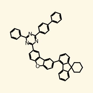 c1ccc(-c2ccc(-c3nc(-c4ccccc4)nc(-c4ccc5oc6ccc(-c7cccc8c7-c7ccccc7C87CCCCC7)cc6c5c4)n3)cc2)cc1